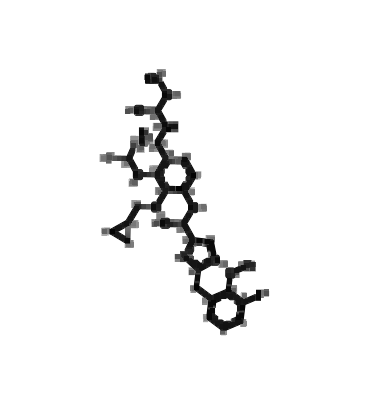 CCOc1c(F)cccc1Cc1nc(C(=O)Oc2ccc([C@H](C)NC(=O)OC(C)(C)C)c(OC(F)F)c2OCC2CC2)co1